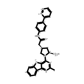 Cc1nc(N2C[C@@H](CC(=O)Nc3ccc(-c4cccnn4)cc3)C[C@H]2C(=O)O)c2oc3ccccc3c2n1